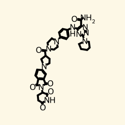 NC(=O)c1nnc(N2CCCCC2)nc1Nc1ccc(N2CCN(C(=O)C3CCN(c4ccc5c(c4)C(=O)N(C4CCC(=O)NC4=O)C5=O)C3)CC2)cc1